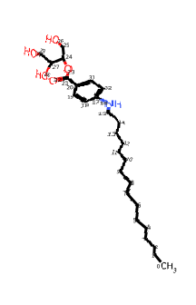 CCCCCCCCCCCCCCCCNc1ccc(C(=O)OC(CO)C(O)CO)cc1